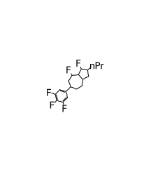 CCCC1CC2CCC(c3cc(F)c(F)c(F)c3)CC(F)C2C1F